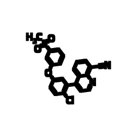 CS(=O)(=O)c1cccc(Oc2ccc(Cl)c(-c3ccnc4c(C#N)cccc34)c2)c1